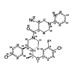 C[C@H](Oc1ccc(Cl)c(F)c1)[C@H]1CCN(C(=O)C2CCN(c3ccccn3)CC2C#N)C[C@@H]1c1ccc(Cl)cc1